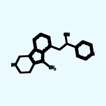 Cn1c2c(c3cccc(CC(O)c4ccncc4)c31)CNCC2